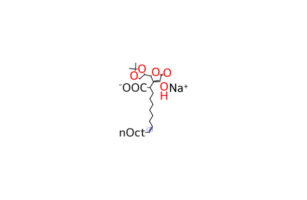 CCCCCCCC/C=C\CCCCCCC(C(=O)[O-])C1=C(O)C(=O)OC1C1COC(C)(C)O1.[Na+]